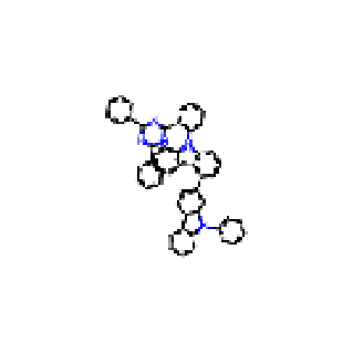 c1ccc(-c2nc(-c3ccccc3)nc(-c3ccccc3-n3c4ccccc4c4c(-c5ccc6c7ccccc7n(-c7ccccc7)c6c5)cccc43)n2)cc1